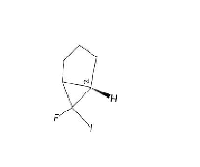 FC1(I)C2CCC[C@@H]21